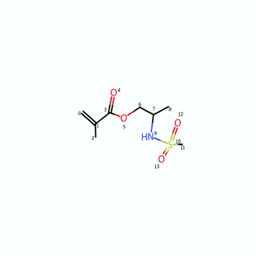 C=C(C)C(=O)OCC(C)NS(C)(=O)=O